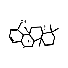 CC1(C)CCC[C@]2(C)[C@H]3CSC4C=CC=C(O)C4[C@]3(C)CC[C@@H]12